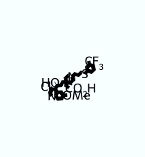 COc1ccc2ncc(Cl)c([C@H](O)CCC3(CC(=O)O)CCN(CCCSc4cccc(C(F)(F)F)c4)CC3)c2c1